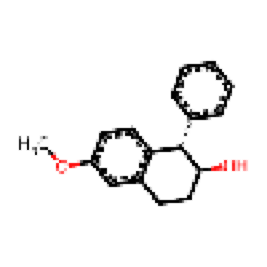 COc1ccc2c(c1)CC[C@H](O)[C@H]2c1ccccc1